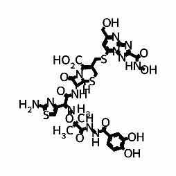 CC(C)(ON=C(C(=O)N[C@@H]1C(=O)N2C(C(=O)O)=C(CSc3cc(CO)nc4nc(C(=O)NO)nn34)CS[C@H]12)c1csc(N)n1)C(=O)NNC(=O)c1ccc(O)c(O)c1